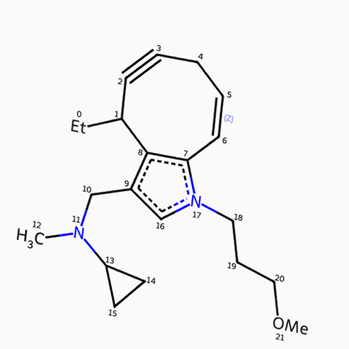 CCC1C#CC/C=C\c2c1c(CN(C)C1CC1)cn2CCCOC